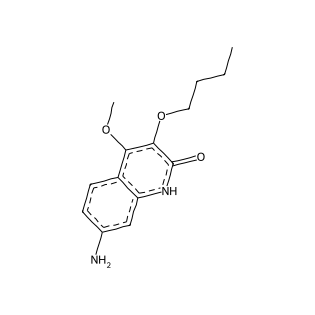 CCCCOc1c(OC)c2ccc(N)cc2[nH]c1=O